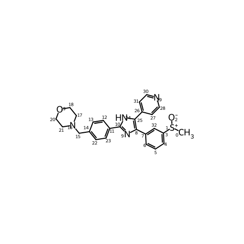 C[S+]([O-])c1cccc(-c2nc(-c3ccc(CN4CCOCC4)cc3)[nH]c2-c2ccncc2)c1